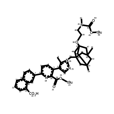 Cc1c(-c2ccc(-c3ccc4cccc(C(=O)O)c4c3)nc2C(=O)OC(C)(C)C)cnn1CC12CC3(C)CC(C)(C1)CC(OCCN(C)C(=O)OC(C)(C)C)(C3)C2